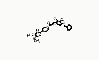 COC(=O)[C@H](C)NC(=O)C1CCN(C(=O)/C=C/c2ccc(SCc3ccccc3)c(Cl)c2Cl)CC1